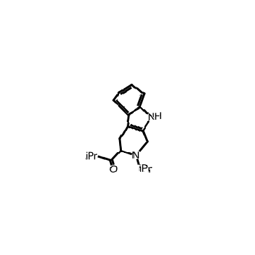 CC(C)C(=O)C1Cc2c([nH]c3ccccc23)CN1C(C)C